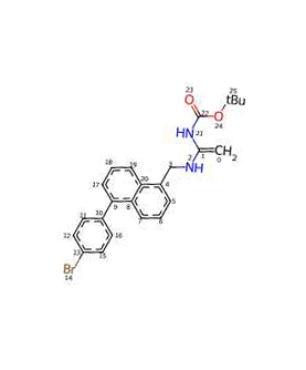 C=C(NCc1cccc2c(-c3ccc(Br)cc3)cccc12)NC(=O)OC(C)(C)C